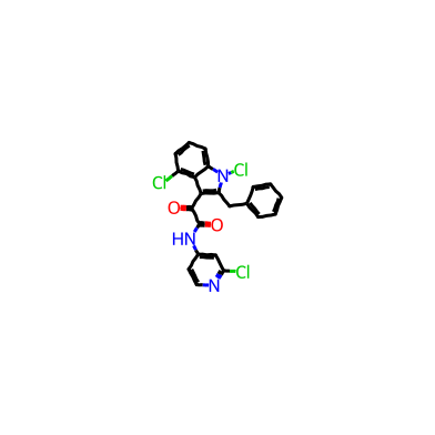 O=C(Nc1ccnc(Cl)c1)C(=O)c1c(Cc2ccccc2)n(Cl)c2cccc(Cl)c12